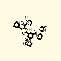 Cc1csc([C@H]2CCCN2C(=O)c2cc(C(=O)N[C@@H](Cc3ccccc3)[C@H](O)[C@H]3CCCN3)cc(N3CCCS3(=O)=O)c2)n1